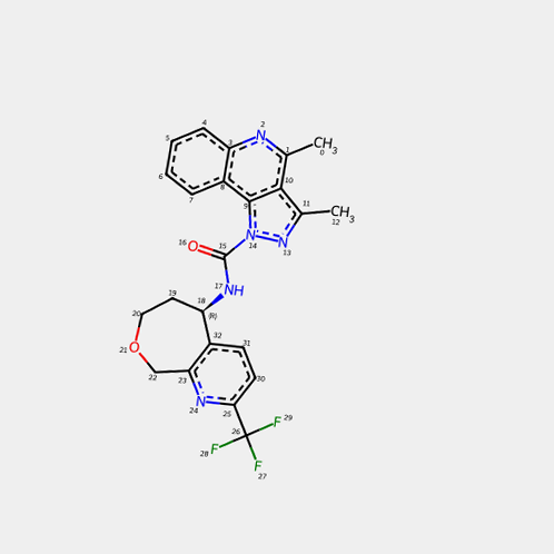 Cc1nc2ccccc2c2c1c(C)nn2C(=O)N[C@@H]1CCOCc2nc(C(F)(F)F)ccc21